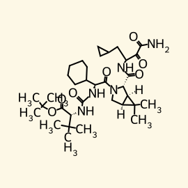 CC(C)(C)OC(=O)[C@H](NC(=O)N[C@H](C(=O)N1C[C@H]2[C@@H]([C@H]1C(=O)NC(CC1CC1)C(=O)C(N)=O)C2(C)C)C1CCCCC1)C(C)(C)C